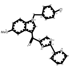 COc1ccc2c(c1)c(C(=O)c1coc(-c3ccccn3)n1)cn2Cc1ccc(Cl)cc1